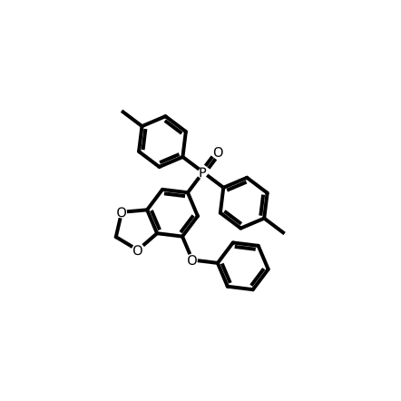 Cc1ccc(P(=O)(c2ccc(C)cc2)c2cc3c(c(Oc4ccccc4)c2)OCO3)cc1